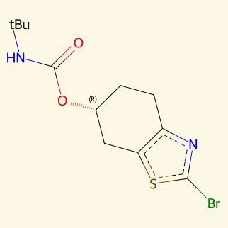 CC(C)(C)NC(=O)O[C@@H]1CCc2nc(Br)sc2C1